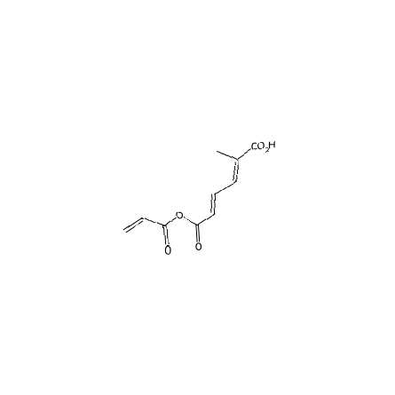 C=CC(=O)OC(=O)C=CC=C(C)C(=O)O